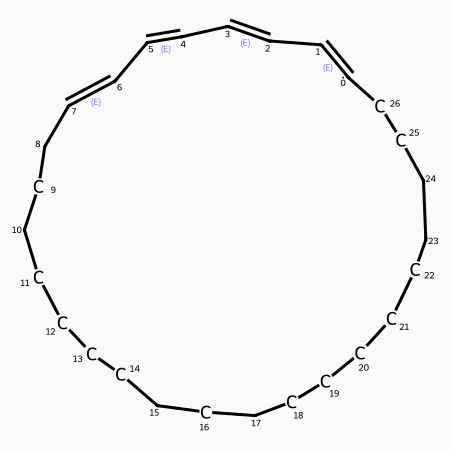 [C]1=C/C=C/C=C/C=C/CCCCCCCCCCCCCCCCCCC/1